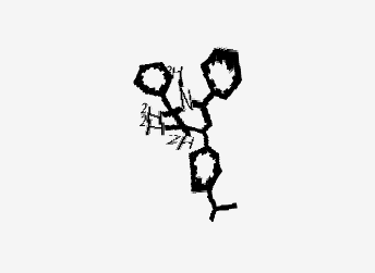 [2H]N1C(c2ccccc2)=CC(c2ccc(C(C)C)cc2)C([2H])([2H])C1([2H])c1ccccc1